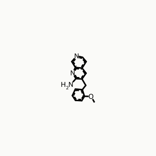 COc1ccccc1Cc1cc2ccncc2nc1N